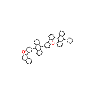 c1ccc(-c2c3ccccc3c(-c3cccc4c3oc3ccc(-c5c6ccccc6c(-c6ccc7oc8ccc9ccccc9c8c7c6)c6ccccc56)cc34)c3ccccc23)cc1